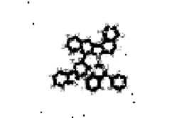 c1ccc(-c2nc(-n3c4ccc5ccccc5c4c4cc5ccccc5c(-c5ccc6sc7ccccc7c6c5)c43)nc3ccccc23)cc1